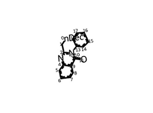 CCCCCCCCCCCc1nc2ccccc2c(=O)n1-c1ccccc1